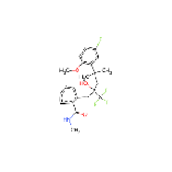 CNC(=O)c1ccccc1CC(O)(CC(C)(C)c1cc(F)ccc1OC)C(F)(F)F